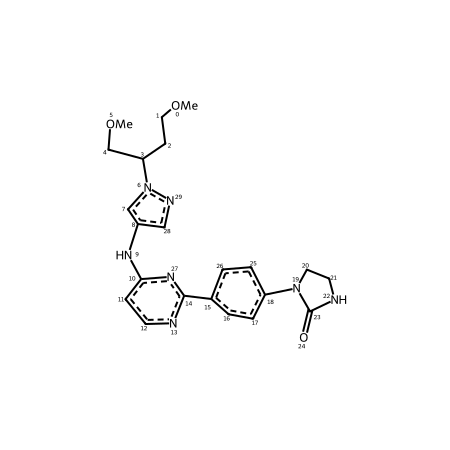 COCCC(COC)n1cc(Nc2ccnc(-c3ccc(N4CCNC4=O)cc3)n2)cn1